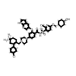 CC1(C)CCC(CN2CCN(c3ccc(C(=O)NS(=O)(=O)c4ccc(OC[C@H]5CC[C@H](O)CC5)nc4Cl)c(Oc4cnc5[nH]ccc5c4)c3)CC2)=C(c2ccc(Cl)cc2)C1